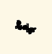 CCNC(=O)Nc1ccccc1NC(=O)Nc1ccc(-c2ccc(C(=O)N3CCN4CCC3CC4)o2)cc1